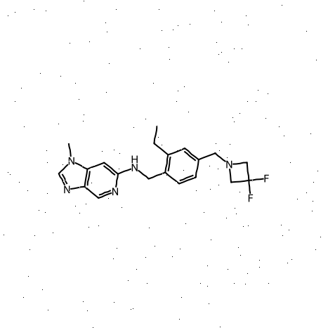 CCc1cc(CN2CC(F)(F)C2)ccc1CNc1cc2c(cn1)ncn2C